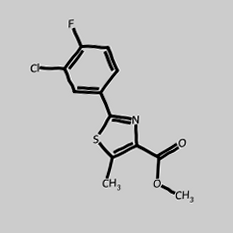 COC(=O)c1nc(-c2ccc(F)c(Cl)c2)sc1C